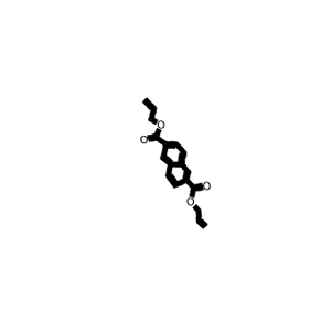 C=CCOC(=O)c1ccc2cc(C(=O)OCC=C)ccc2c1